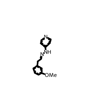 COc1cccc(C/C=N/Nc2ccncc2)c1